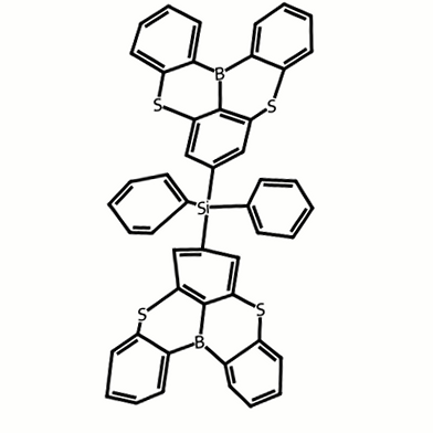 c1ccc([Si](c2ccccc2)(c2cc3c4c(c2)Sc2ccccc2B4c2ccccc2S3)c2cc3c4c(c2)Sc2ccccc2B4c2ccccc2S3)cc1